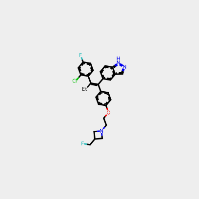 CCC(=C(c1ccc(OCCN2CC(CF)C2)cc1)c1ccc2[nH]ncc2c1)c1ccc(F)cc1Cl